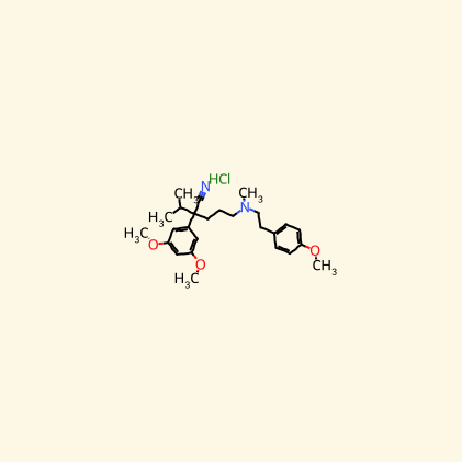 COc1ccc(CCN(C)CCCC(C#N)(c2cc(OC)cc(OC)c2)C(C)C)cc1.Cl